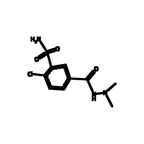 CN(C)NC(=O)c1ccc(Cl)c(S(N)(=O)=O)c1